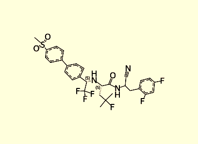 CC(C)(F)C[C@H](N[C@@H](c1ccc(-c2ccc(S(C)(=O)=O)cc2)cc1)C(F)(F)F)C(=O)NC(C#N)Cc1ccc(F)cc1F